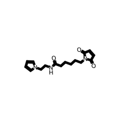 O=C(CCCCCN1C(=O)C=CC1=O)NCCn1cccc1